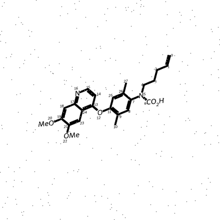 C=CCCCN(C(=O)O)c1cc(C)c(Oc2ccnc3cc(OC)c(OC)cc23)cc1C